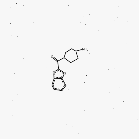 NC1CCC(C(=O)c2nc3ccccc3s2)CC1